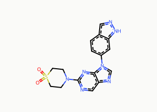 O=S1(=O)CCN(c2ncc3ncn(-c4ccc5cn[nH]c5c4)c3n2)CC1